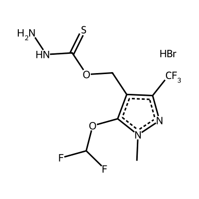 Br.Cn1nc(C(F)(F)F)c(COC(=S)NN)c1OC(F)F